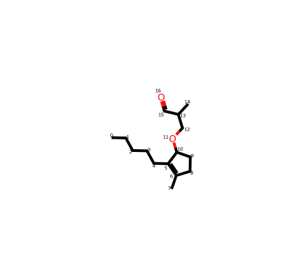 CCCCCC1=C(C)CCC1OCC(C)C=O